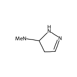 CNC1CC=NN1